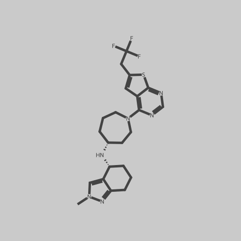 Cn1cc2c(n1)CCC[C@H]2N[C@@H]1CCCN(c2ncnc3sc(CC(F)(F)F)cc23)CC1